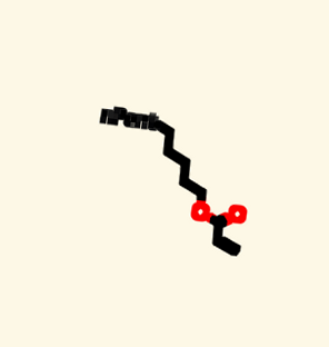 [CH2]CCCCCCCCCOC(=O)C=C